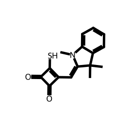 CN1C(=Cc2c(S)c(=O)c2=O)C(C)(C)c2ccccc21